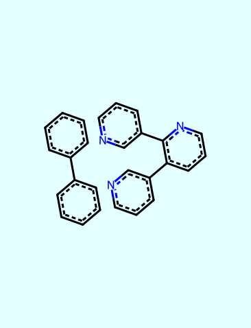 c1ccc(-c2ccccc2)cc1.c1cncc(-c2cccnc2-c2cccnc2)c1